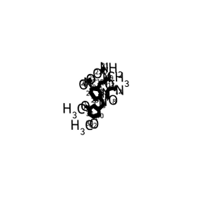 COc1cc(Cn2c(=O)n(CC#N)c3c(CC(=O)N(C)C(N)=O)c([N+](=O)[O-])ccc32)cc(OC)c1